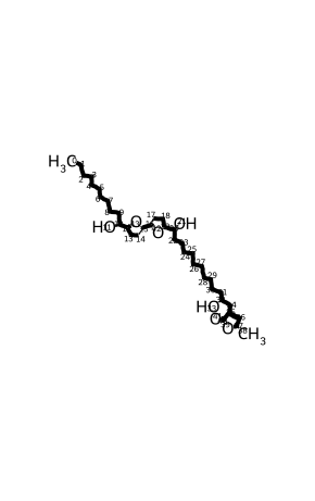 CCCCCCCCCC[C@H](O)C1CC[C@@H]([C@@H]2CCC([C@H](O)CCCCCCCCCC[C@@H](O)CC3=C[C@H](C)OC3=O)O2)O1